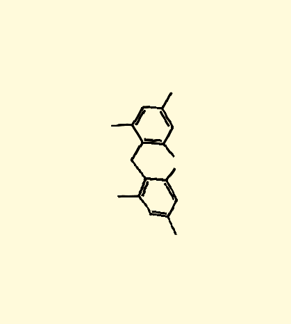 Cc1cc(C)c(Cc2c(C)cc(C)cc2C)c(C)c1